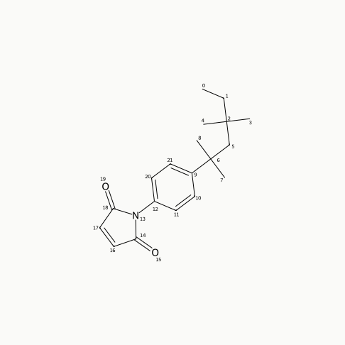 CCC(C)(C)CC(C)(C)c1ccc(N2C(=O)C=CC2=O)cc1